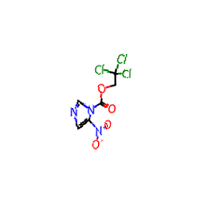 O=C(OCC(Cl)(Cl)Cl)n1cncc1[N+](=O)[O-]